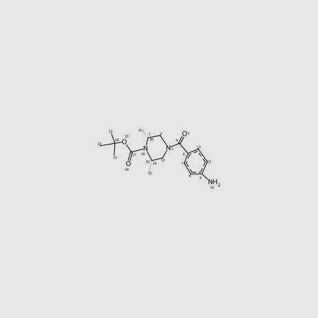 C[C@@H]1CN(C(=O)c2ccc(N)cc2)C[C@H](C)N1C(=O)OC(C)(C)C